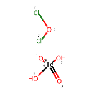 ClOCl.O=[Te](=O)(O)O